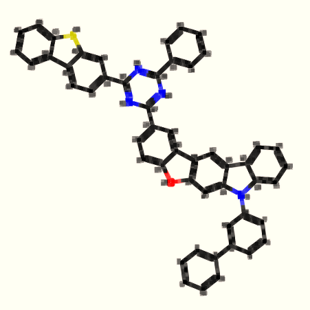 c1ccc(-c2cccc(-n3c4ccccc4c4cc5c(cc43)oc3ccc(-c4nc(-c6ccccc6)nc(-c6ccc7c(c6)sc6ccccc67)n4)cc35)c2)cc1